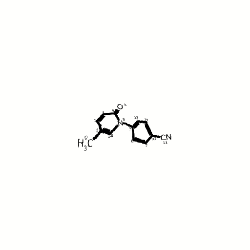 Cc1ccc(=O)n(-c2ccc(C#N)cc2)c1